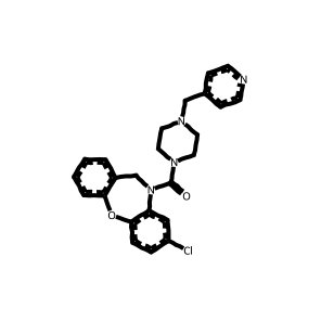 O=C(N1CCN(Cc2ccncc2)CC1)N1Cc2ccccc2Oc2ccc(Cl)cc21